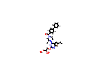 CCc1cc2c(N3CCN(C(=O)c4ccc(-c5ccccc5)cc4)C[C@@H]3C)nc(OC[C@H](O)CO)nc2s1